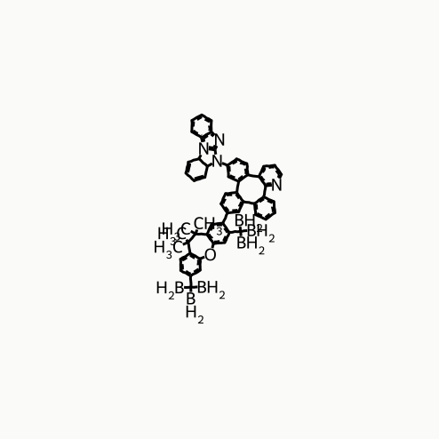 BC(B)(B)c1ccc2c(c1)Oc1cc(C(B)(B)B)c(-c3ccc4c(c3)-c3ccccc3-c3ncccc3-c3ccc(N5c6nc7ccccc7n6C6C=CC=CC65)cc3-4)cc1C(C)(C)C2(C)C